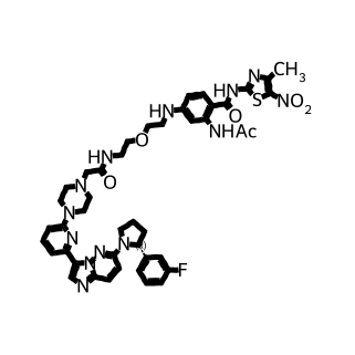 CC(=O)Nc1cc(NCCOCCNC(=O)CN2CCN(c3cccc(-c4cnc5ccc(N6CCC[C@@H]6c6cccc(F)c6)nn45)n3)CC2)ccc1C(=O)Nc1nc(C)c([N+](=O)[O-])s1